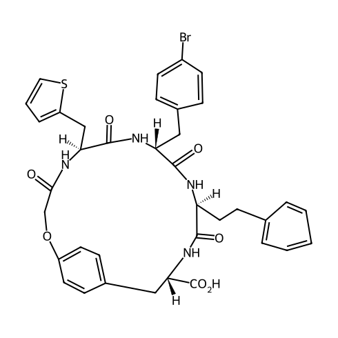 O=C1COc2ccc(cc2)C[C@@H](C(=O)O)NC(=O)[C@H](CCc2ccccc2)NC(=O)[C@@H](Cc2ccc(Br)cc2)NC(=O)[C@H](Cc2cccs2)N1